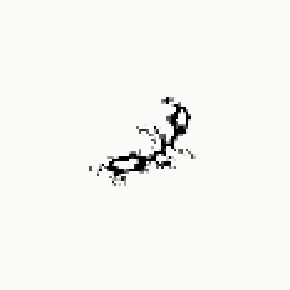 NC(c1cccc(F)c1)C(N)c1cc(-c2ccc(C(F)(F)F)c(Cl)c2)ncn1